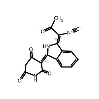 [C-]#[N+]/C(C(C)=O)=c1/[nH]/c(=C2\C(=O)CC(=O)NC2=O)c2ccccc12